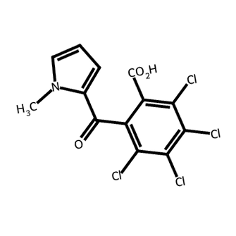 Cn1cccc1C(=O)c1c(Cl)c(Cl)c(Cl)c(Cl)c1C(=O)O